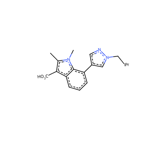 Cc1c(C(=O)O)c2cccc(-c3cnn(CC(C)C)c3)c2n1C